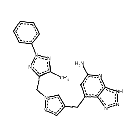 Cc1nn(-c2ccccc2)nc1Cn1cc(Cc2cc(N)nc3[nH]nnc23)cn1